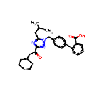 CC(C)Cc1nc(C(=O)CC2CCCCC2)nn1Cc1ccc(-c2ccccc2C(=O)O)cc1